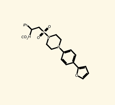 CC(C)C(CS(=O)(=O)N1CCN(c2ccc(-c3ccco3)cc2)CC1)C(=O)O